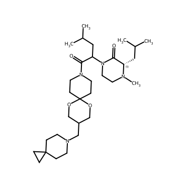 CC(C)CC(C(=O)N1CCC2(CC1)OCC(CN1CCC3(CC1)CC3)CO2)N1CCN(C)[C@@H](CC(C)C)C1=O